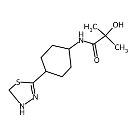 CC(C)(O)C(=O)NC1CCC(C2=NNCS2)CC1